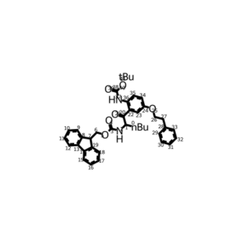 CCCCC(NC(=O)OCC1c2ccccc2-c2ccccc21)C(=O)c1cc(OCCc2ccccc2)ccc1NC(=O)OC(C)(C)C